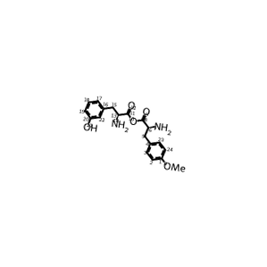 COc1ccc(C[C@H](N)C(=O)OC(=O)[C@@H](N)Cc2cccc(O)c2)cc1